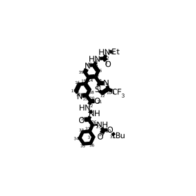 CCNC(=O)Nc1cc(-c2nc(C(F)(F)F)cs2)c(-c2ccnc(C(=O)NNC(=O)[C@@H](NC(=O)OC(C)(C)C)C3CCCCC3)c2)cn1